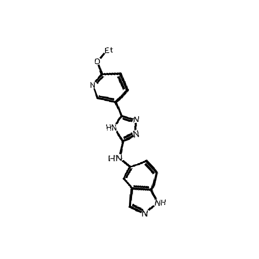 CCOc1ccc(-c2nnc(Nc3ccc4[nH]ncc4c3)[nH]2)cn1